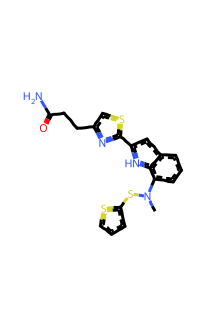 CN(Sc1cccs1)c1cccc2cc(-c3nc(CCC(N)=O)cs3)[nH]c12